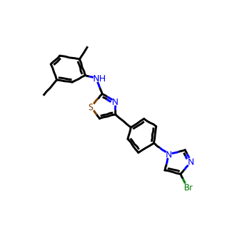 Cc1ccc(C)c(Nc2nc(-c3ccc(-n4cnc(Br)c4)cc3)cs2)c1